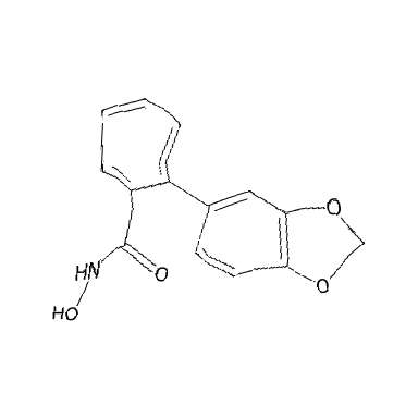 O=C(NO)c1ccccc1-c1ccc2c(c1)OCO2